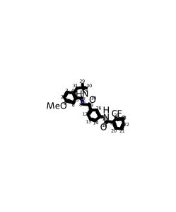 COc1ccc2c(c1)/C(=C/C(=O)c1cccc(NC(=O)c3ccccc3C(F)(F)F)c1)NC(C)(C)C2